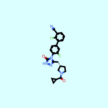 N#Cc1cccc(-c2ccc(-n3c(C[C@@H]4CCN(C(=O)C5CC5)C4)n[nH]c3=O)c(F)c2)c1F